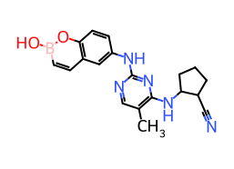 Cc1cnc(Nc2ccc3c(c2)C=CB(O)O3)nc1NC1CCCC1C#N